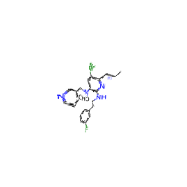 C/C=C/c1nc(NCCc2cccc(F)c2)c(N(C=O)Cc2cccnc2)cc1Br